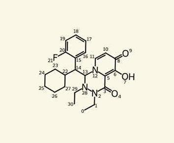 CCN1C(=O)c2c(O)c(=O)ccn2C(C(c2ccccc2F)C2CCCCC2)N1CC